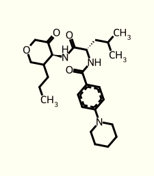 CCCC1COCC(=O)[C@H]1NC(=O)[C@H](CC(C)C)NC(=O)c1ccc(N2CCCCC2)cc1